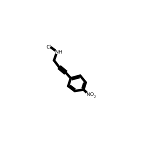 O=[N+]([O-])c1ccc(C#CCNCl)cc1